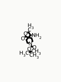 C[C@@H]1OC(=O)C2(CCN(C(=O)OC(C)(C)C)CC2)[C@@H]1N